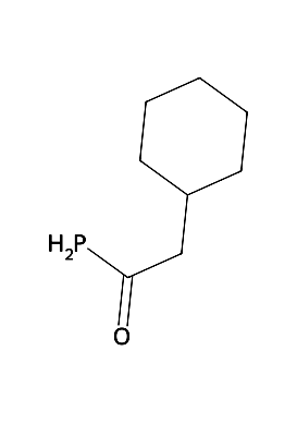 O=C(P)CC1CCCCC1